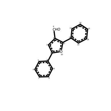 O=Cc1cc(-c2ccccc2)oc1-c1ccccc1